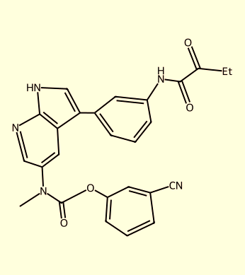 CCC(=O)C(=O)Nc1cccc(-c2c[nH]c3ncc(N(C)C(=O)Oc4cccc(C#N)c4)cc23)c1